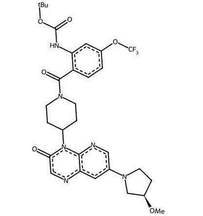 CO[C@@H]1CCN(c2cnc3c(c2)ncc(=O)n3C2CCN(C(=O)c3ccc(OC(F)(F)F)cc3NC(=O)OC(C)(C)C)CC2)C1